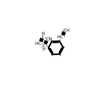 C#C.C#C.C#C.c1ccccc1